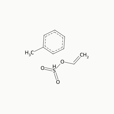 C=CO[SH](=O)=O.Cc1ccccc1